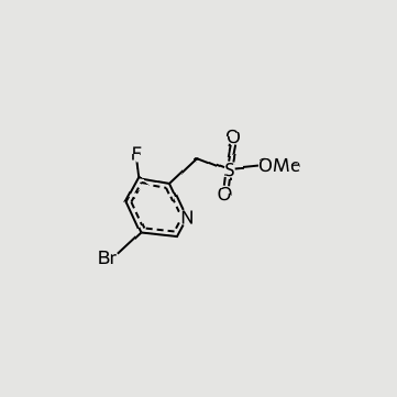 COS(=O)(=O)Cc1ncc(Br)cc1F